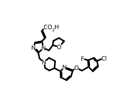 O=C(O)/C=C/c1cnc(CN2CCC(c3cccc(OCc4ccc(Cl)cc4F)n3)CC2)n1CC1CCCO1